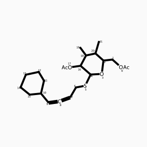 CC(=O)OCC1OC(SCC=C=CC2CCCCC2)C(OC(C)=O)C(C)C1C